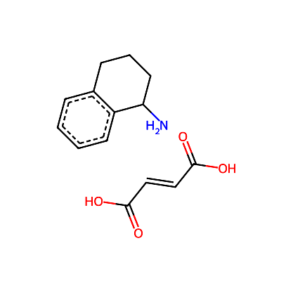 NC1CCCc2ccccc21.O=C(O)/C=C/C(=O)O